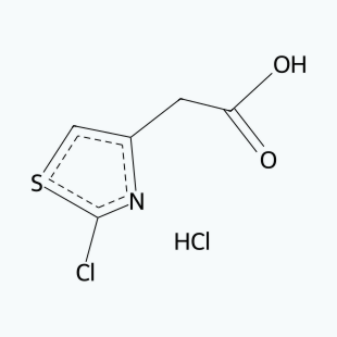 Cl.O=C(O)Cc1csc(Cl)n1